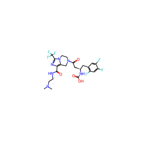 CN(C)CCNC(=O)c1nc(C(F)(F)F)n2c1CN(C(=O)C[C@@H](Cc1cc(F)c(F)cc1F)NC(=O)O)CC2